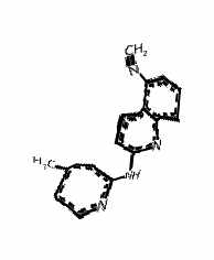 C=Nc1cccc2nc(Nc3cc(C)ccn3)ccc12